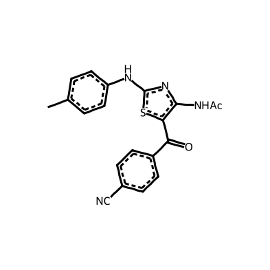 CC(=O)Nc1nc(Nc2ccc(C)cc2)sc1C(=O)c1ccc(C#N)cc1